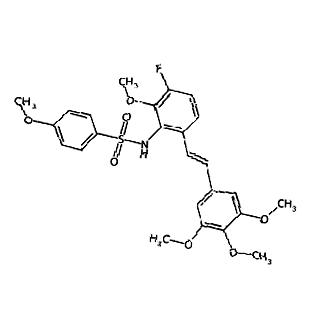 COc1ccc(S(=O)(=O)Nc2c(C=Cc3cc(OC)c(OC)c(OC)c3)ccc(F)c2OC)cc1